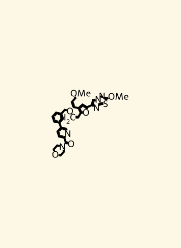 C=Cc1oc(-c2cn3nc(OC)sc3n2)cc1/C(=C\COC)OCc1cccc(-c2ccc(C(=O)N3CCOCC3)nc2)c1